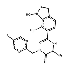 Cc1c(C(=O)NC(C(=O)OCc2ncc(F)cn2)C(C)C)ccc2c1B(O)OC2